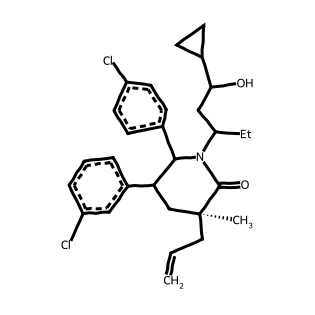 C=CC[C@@]1(C)CC(c2cccc(Cl)c2)C(c2ccc(Cl)cc2)N(C(CC)CC(O)C2CC2)C1=O